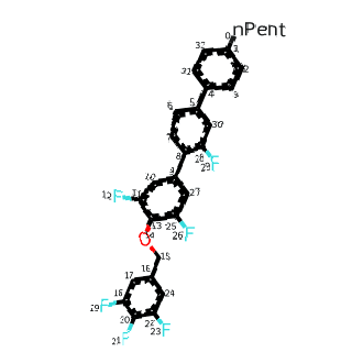 CCCCCc1ccc(-c2ccc(-c3cc(F)c(OCc4cc(F)c(F)c(F)c4)c(F)c3)c(F)c2)cc1